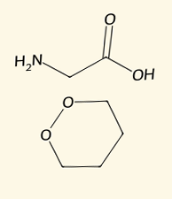 C1CCOOC1.NCC(=O)O